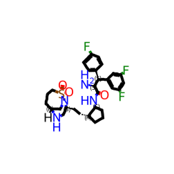 N[C@H](C(=O)N[C@H]1CCC[C@@H]1CC[C@H]1CN[C@@H]2CCCS(=O)(=O)N1C2)[C@@H](c1ccc(F)cc1)c1cc(F)cc(F)c1